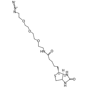 [N-]=[N+]=NCCOCCOCCOCCNC(=O)CCCC[C@@H]1SCC2NC(=O)N[C@@H]21